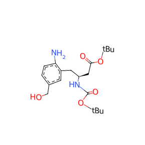 CC(C)(C)OC(=O)C[C@H](Cc1cc(CO)ccc1N)NC(=O)OC(C)(C)C